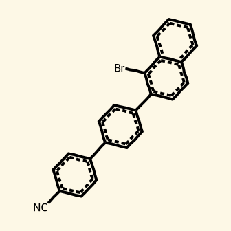 N#Cc1ccc(-c2ccc(-c3ccc4ccccc4c3Br)cc2)cc1